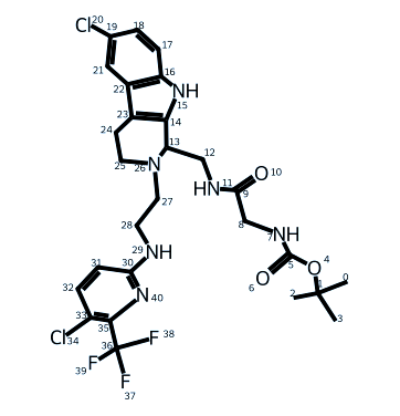 CC(C)(C)OC(=O)NCC(=O)NCC1c2[nH]c3ccc(Cl)cc3c2CCN1CCNc1ccc(Cl)c(C(F)(F)F)n1